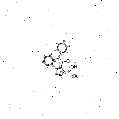 C[C@@H](C1=CC=C[C@H]1P(O)C(C)(C)C)P(c1ccccc1)c1ccccc1